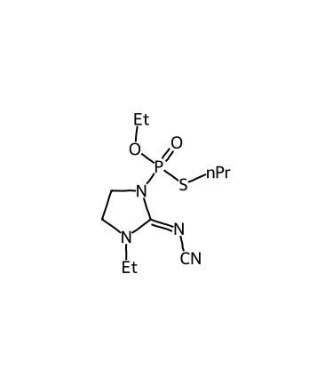 CCCSP(=O)(OCC)N1CCN(CC)C1=NC#N